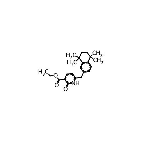 CCOC(=O)c1ccc(Cc2ccc3c(c2)C(C)(C)CCC3(C)C)[nH]c1=O